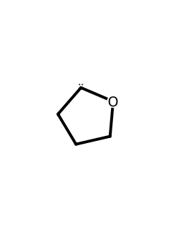 [C]1CCCO1